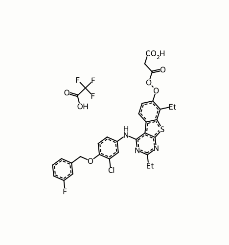 CCc1nc(Nc2ccc(OCc3cccc(F)c3)c(Cl)c2)c2c(n1)sc1c(CC)c(OOC(=O)CC(=O)O)ccc12.O=C(O)C(F)(F)F